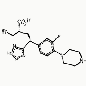 CC(C)C[C@@H](C[C@@H](c1ccc(N2CCNCC2)c(F)c1)c1nn[nH]n1)C(=O)O